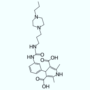 CCCN1CCN(CCCNC(=O)Nc2cccc(C3C(C(=O)O)=C(C)NC(C)=C3C(=O)O)c2)CC1